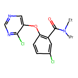 CCN(C(=O)c1cc(Cl)ccc1Oc1cncnc1Cl)C(C)C